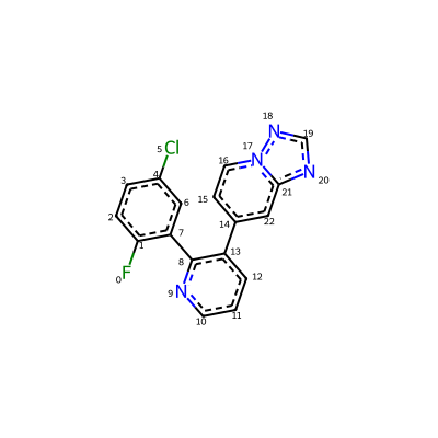 Fc1ccc(Cl)cc1-c1ncccc1-c1ccn2ncnc2c1